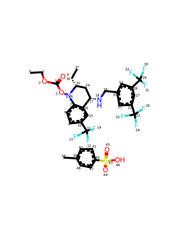 CCOC(=O)ON1c2ccc(C(F)(F)F)cc2[C@@H](NCc2cc(C(F)(F)F)cc(C(F)(F)F)c2)C[C@H]1CC.Cc1ccc(S(=O)(=O)O)cc1